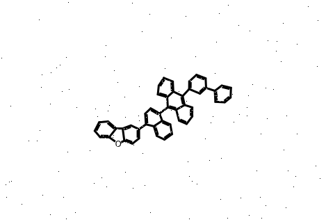 c1ccc(-c2cccc(-c3c4ccccc4c(-c4ccc(-c5ccc6oc7ccccc7c6c5)c5ccccc45)c4ccccc34)c2)cc1